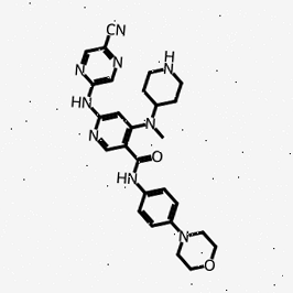 CN(c1cc(Nc2cnc(C#N)cn2)ncc1C(=O)Nc1ccc(N2CCOCC2)cc1)C1CCNCC1